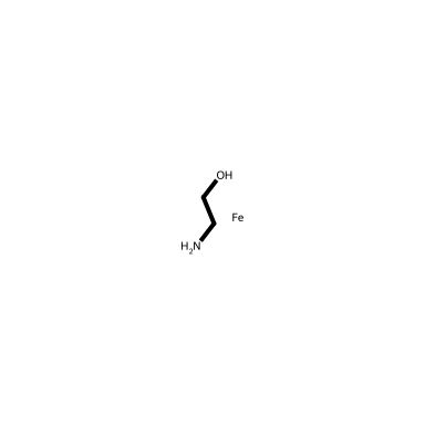 NCCO.[Fe]